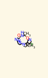 CC[C@@]12c3cc(F)cnc3OC[C@@H](C)NC(=O)c3cnc4ccc(nn34)N1CC[C@H]2C